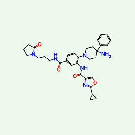 NC1(c2ccccc2)CCN(c2ccc(C(=O)NCCCN3CCCC3=O)cc2NC(=O)c2coc(C3CC3)n2)CC1